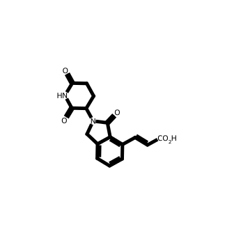 O=C(O)/C=C/c1cccc2c1C(=O)N(C1CCC(=O)NC1=O)C2